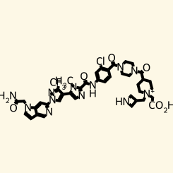 Cn1c(-c2cn(-c3cc4c(ccn4CC(N)=O)cn3)nc2C(F)(F)F)cnc1C(=O)Nc1ccc(C(=O)N2CCN(C(=O)C3CC[N+](CC(=O)O)(CC4CNC4)CC3)CC2)c(Cl)c1